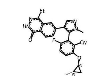 CCc1n[nH]c(=O)c2ccc(-c3cnn(C)c3-c3c(F)ccc(O[C@H]4C[C@@H]4C)c3C#N)cc12